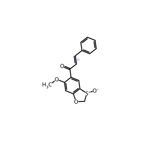 COc1cc2c(cc1C(=O)/C=C/c1ccccc1)[S+]([O-])CO2